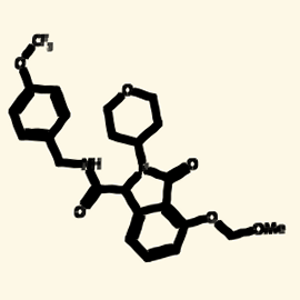 COCOc1cccc2c1C(=O)N(C1CCOCC1)C2C(=O)NCc1ccc(OC(F)(F)F)cc1